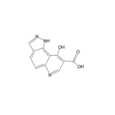 O=C(O)c1cnc2ccc3cn[nH]c3c2c1O